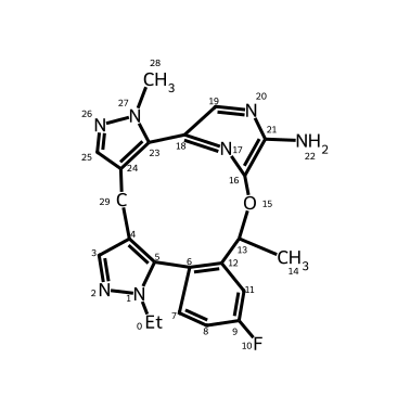 CCn1ncc2c1-c1ccc(F)cc1C(C)Oc1nc(cnc1N)-c1c(cnn1C)C2